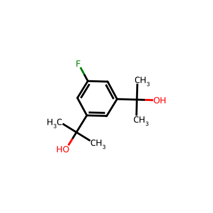 CC(C)(O)c1cc(F)cc(C(C)(C)O)c1